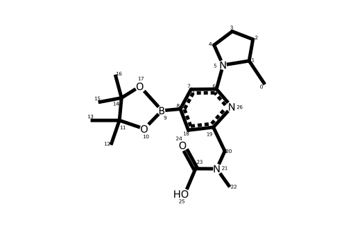 CC1CCCN1c1cc(B2OC(C)(C)C(C)(C)O2)cc(CN(C)C(=O)O)n1